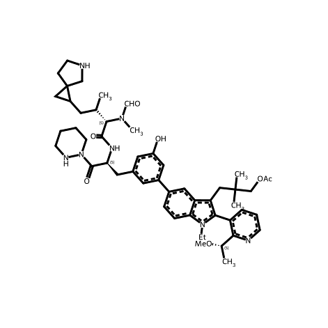 CCn1c(-c2cccnc2[C@H](C)OC)c(CC(C)(C)COC(C)=O)c2cc(-c3cc(O)cc(C[C@H](NC(=O)[C@H](C(C)CC4CC45CCNC5)N(C)C=O)C(=O)N4CCCCN4)c3)ccc21